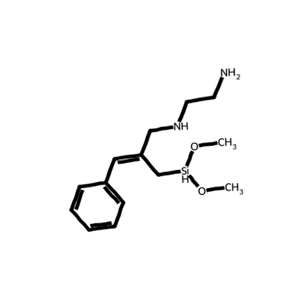 CO[SiH](CC(=Cc1ccccc1)CNCCN)OC